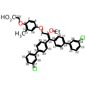 CCOC(COc1ccc(OCC(=O)O)c(C)c1)=C(c1ccc(-c2cccc(Cl)c2)cc1)c1ccc(-c2cccc(Cl)c2)cc1